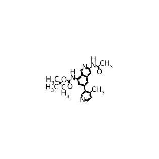 CC(=O)Nc1cc2cc(-c3cnccc3C)cc(NC(=O)OC(C)(C)C)c2cn1